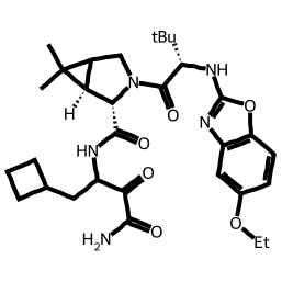 CCOc1ccc2oc(N[C@H](C(=O)N3CC4[C@@H]([C@H]3C(=O)NC(CC3CCC3)C(=O)C(N)=O)C4(C)C)C(C)(C)C)nc2c1